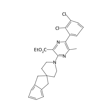 CCOC(=O)c1nc(-c2cccc(Cl)c2Cl)c(C)nc1N1CCC2(CC1)Cc1ccccc1C2